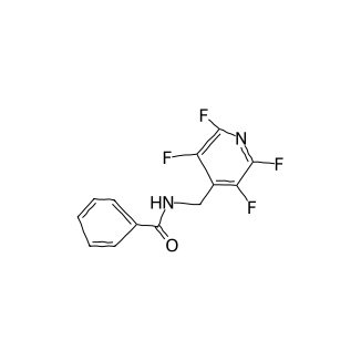 O=C(NCc1c(F)c(F)nc(F)c1F)c1ccccc1